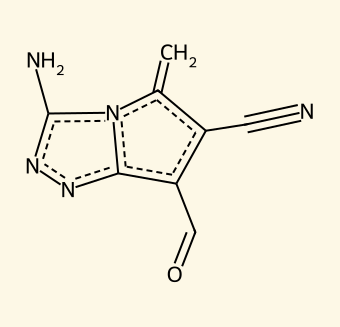 C=c1c(C#N)c(C=O)c2nnc(N)n12